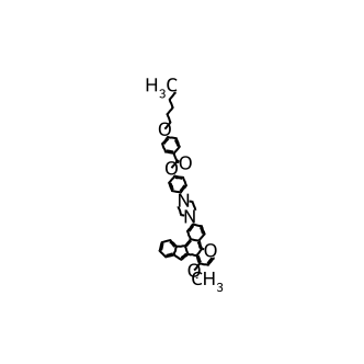 CCCCCCOc1ccc(C(=O)Oc2ccc(N3CCN(c4ccc5c(c4)c4c6ccccc6cc4c4c(OC)ccoc54)CC3)cc2)cc1